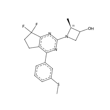 CSc1cccc(-c2nc(N3CC(O)[C@@H]3C)nc3c2CCC3(F)F)c1